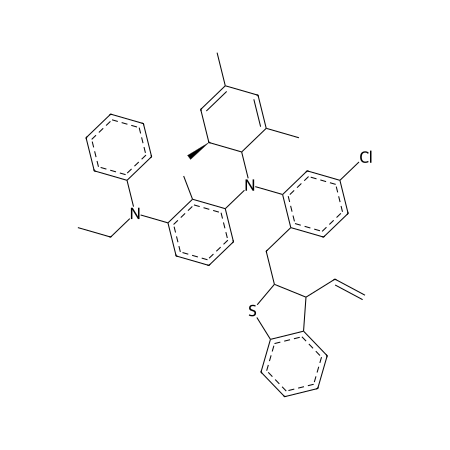 C=CC1c2ccccc2SC1Cc1ccc(Cl)cc1N(c1cccc(N(CC)c2ccccc2)c1C)C1C(C)=CC(C)=C[C@@H]1C